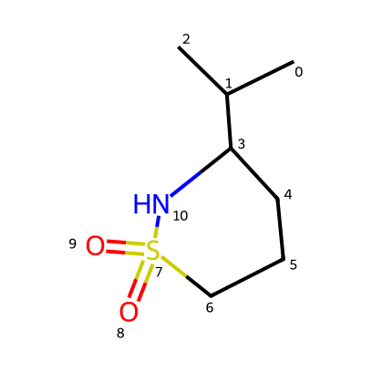 CC(C)C1CCCS(=O)(=O)N1